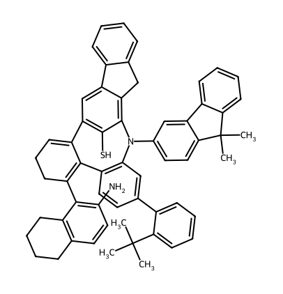 CC(C)(C)c1ccccc1-c1ccc2c(c1)N(c1ccc3c(c1)-c1ccccc1C3(C)C)c1c(S)c(cc3c1Cc1ccccc1-3)C1=CCCC(c3c(N)ccc4c3CCCC4)=C12